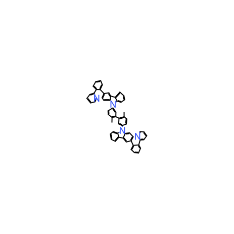 Cc1ccc(-n2c3ccccc3c3cc(-c4ccccc4-c4ccccn4)ccc32)cc1-c1cc(-n2c3ccccc3c3cc(-c4ccccc4-c4ccccn4)ccc32)ccc1C